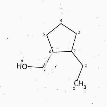 CCC1CCC[C@H]1CO